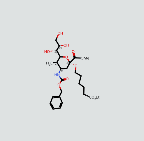 CCOC(=O)CCCCCO[C@]1(C(=O)OC)C[C@@H](NC(=O)OCc2ccccc2)[C@@H](C)C([C@H](O)[C@H](O)CO)O1